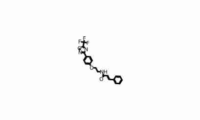 O=C(C=Cc1ccccc1)NCCOc1ccc(-c2noc(C(F)(F)F)n2)cc1